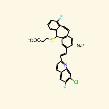 O=C([O-])CCSC1c2cc(C=Cc3ccc4cc(F)c(Cl)cc4n3)ccc2C=Cc2c(F)cccc21.[Na+]